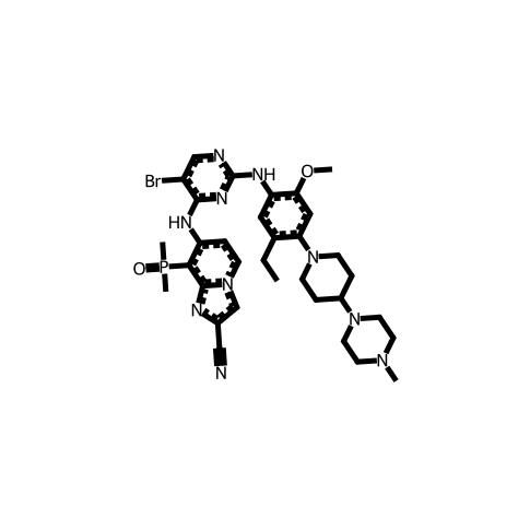 CCc1cc(Nc2ncc(Br)c(Nc3ccn4cc(C#N)nc4c3P(C)(C)=O)n2)c(OC)cc1N1CCC(N2CCN(C)CC2)CC1